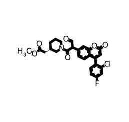 COC(=O)C[C@@H]1CCCN(C(=O)C(C=O)c2ccc3c(-c4ccc(F)cc4Cl)cc(=O)oc3c2)C1